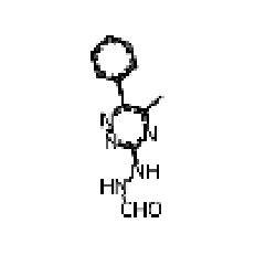 Cc1nc(NNC=O)nnc1-c1ccccc1